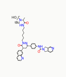 CC(C(=O)NCCCCCCN1N=C(c2ccc(NC(=O)N3Cc4ccncc4C3)cc2)CC(c2ccc3cccnc3c2)C1=O)N(C(=O)O)C(C)(C)C